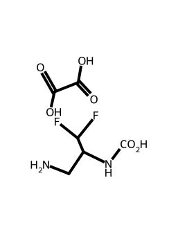 NCC(NC(=O)O)C(F)F.O=C(O)C(=O)O